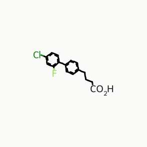 O=C(O)CCCc1ccc(-c2ccc(Cl)cc2F)cc1